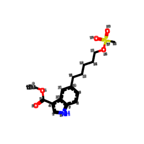 CC(C)(C)OC(=O)c1c[nH]c2ccc(CCCCCOS(C)(=O)=O)cc12